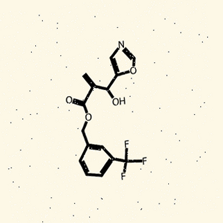 C=C(C(=O)OCc1cccc(C(F)(F)F)c1)C(O)c1cnco1